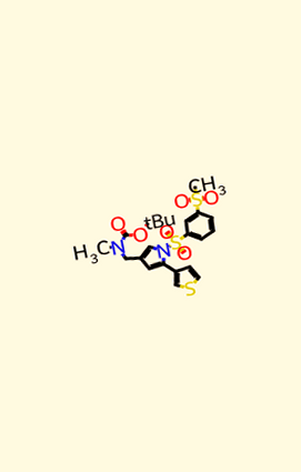 CN(Cc1cc(-c2ccsc2)n(S(=O)(=O)c2cccc(S(C)(=O)=O)c2)c1)C(=O)OC(C)(C)C